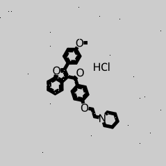 COc1ccc(-c2oc3ccccc3c2C(=O)c2ccc(OCCN3CCCCC3)cc2)cc1.Cl